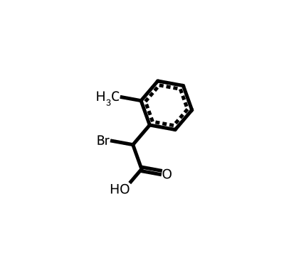 Cc1ccccc1C(Br)C(=O)O